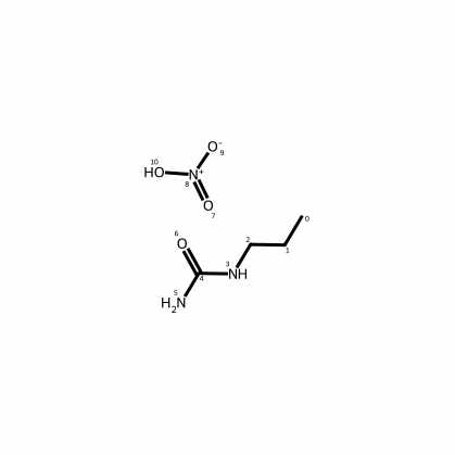 CCCNC(N)=O.O=[N+]([O-])O